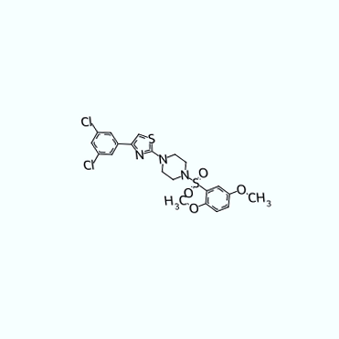 COc1ccc(OC)c(S(=O)(=O)N2CCN(c3nc(-c4cc(Cl)cc(Cl)c4)cs3)CC2)c1